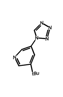 CC(C)(C)c1cncc(-n2cnnn2)c1